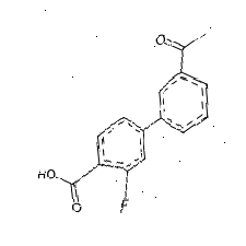 CC(=O)c1cccc(-c2ccc(C(=O)O)c(F)c2)c1